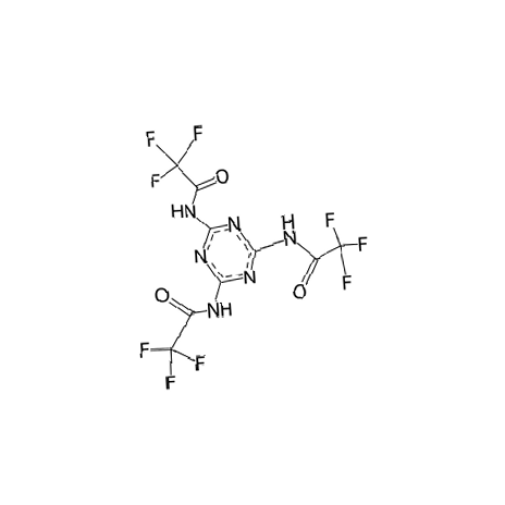 O=C(Nc1nc(NC(=O)C(F)(F)F)nc(NC(=O)C(F)(F)F)n1)C(F)(F)F